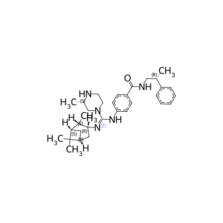 C[C@@H]1[C@H](/N=C(/Nc2ccc(C(=O)NC[C@H](C)c3ccccc3)cc2)N2CCN[C@@H](C)C2)C[C@H]2C[C@@H]1C2(C)C